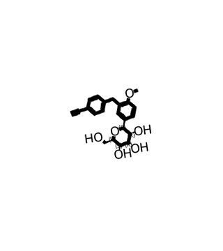 C#Cc1ccc(Cc2cc([C@@H]3O[C@H](CO)[C@@H](O)[C@H](O)[C@H]3O)ccc2OC)cc1